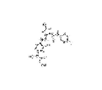 COCC(=O)N(C)c1ccc(NC(=O)[C@H]2C[C@@H](O)CN2C(=O)Nc2ccc(Cl)cc2)c(F)c1